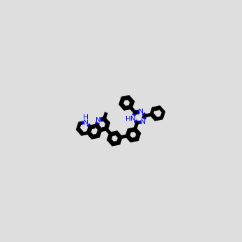 Cc1cc(-c2cccc(-c3cccc(C4N=C(C5=CCCC=C5)N=C(c5ccccc5)N4)c3)c2)c2ccc3c(c2n1)NCC=C3